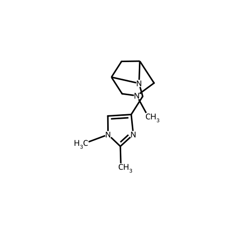 Cc1nc(CN2C3CC2CN(C)C3)cn1C